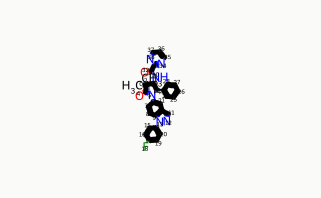 CC1(C)C(=O)N(c2ccc3c(cnn3-c3ccc(F)cc3)c2)[C@H](c2ccccc2)[C@H]1NC(=O)c1ncccn1